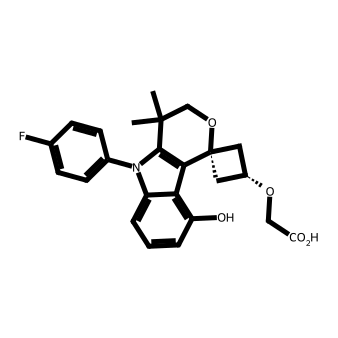 CC1(C)CO[C@]2(C[C@@H](OCC(=O)O)C2)c2c1n(-c1ccc(F)cc1)c1cccc(O)c12